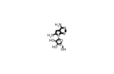 Nc1ncnc2c1cc(N)n2[C@@H]1O[C@H](CO)[C@@H](O)[C@H]1O